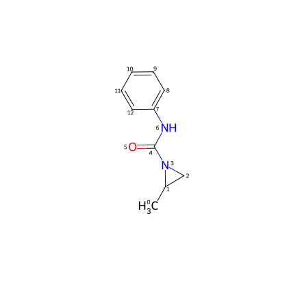 CC1CN1C(=O)Nc1ccccc1